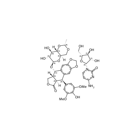 COc1cc([C@@H]2c3cc4c(cc3[C@@H](O[C@@H]3O[C@@H]5CO[C@@H](C)O[C@H]5[C@H](O)[C@H]3O)[C@H]3COC(=O)[C@H]23)OCO4)cc(OC)c1O.Nc1ccn([C@@H]2O[C@H](CO)[C@@H](O)[C@@H]2O)c(=O)n1